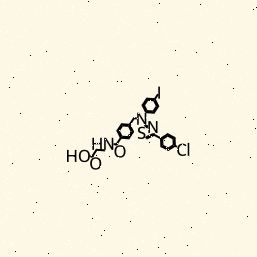 O=C(O)CCNC(=O)c1ccc(CN(c2ccc(I)cc2)c2nc(-c3ccc(Cl)cc3)cs2)cc1